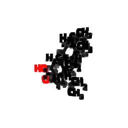 C=C(C)[C@@H]1CC[C@]2(C(=O)O)CC[C@]3(C)[C@H](CC[C@@H]4[C@@]5(C)CC=CC(C)(C)[C@@H]5CC[C@]43C)[C@@H]12